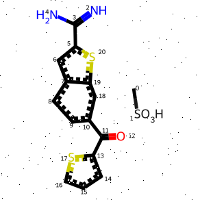 CS(=O)(=O)O.N=C(N)c1cc2ccc(C(=O)c3cccs3)cc2s1